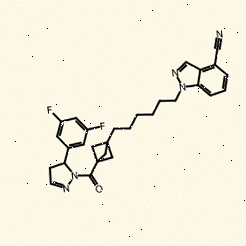 N#Cc1cccc2c1cnn2CCCCCCC12CC(C(=O)N3N=CCC3c3cc(F)cc(F)c3)(C1)C2